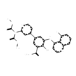 COC(=O)c1cc(-c2ccnc(N(C(=O)OC(C)(C)C)C(=O)OC(C)(C)C)c2)cc(Nc2ccnc3cccc(F)c23)c1[N+](=O)[O-]